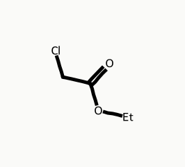 [CH2]COC(=O)CCl